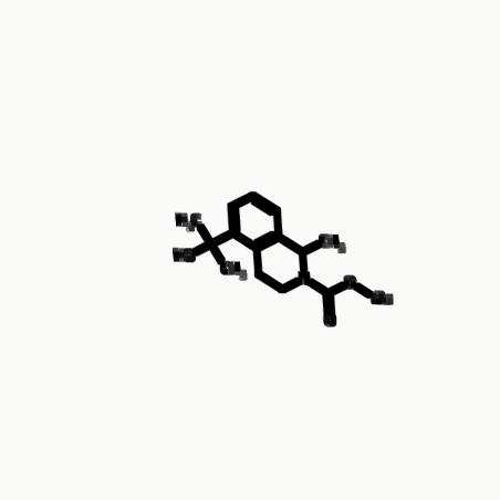 CC1c2cccc(C(C)(C)O)c2CCN1C(=O)OC(C)(C)C